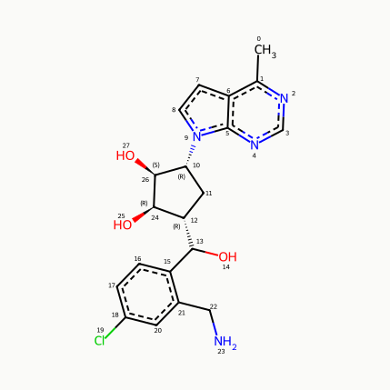 Cc1ncnc2c1ccn2[C@@H]1C[C@H](C(O)c2ccc(Cl)cc2CN)[C@@H](O)[C@H]1O